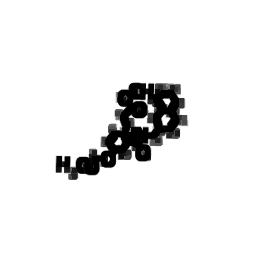 COCOc1ccc(C=CC(=O)OC)c(C(=O)NCc2ccc3ccccc3c2)c1